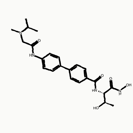 CC(C)N(C)CC(=O)Nc1ccc(-c2ccc(C(=O)N[C@H](C(=O)NO)[C@@H](C)O)cc2)cc1